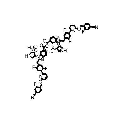 CO[C@H]1CNC[C@@H]1n1c(Cc2cc(F)c(-c3cccc(OCc4ccc(C#N)cc4F)n3)cc2F)nc2ccc(C(=O)OC(=O)c3ccc4nc(Cc5cc(F)c(-c6cccc(OCc7ccc(C#N)cc7F)n6)cc5F)n([C@H]5CNC[C@@H]5OC)c4c3)cc21